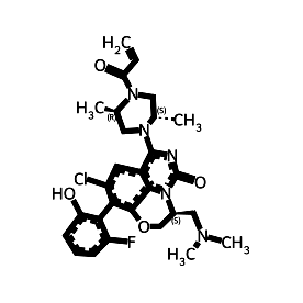 C=CC(=O)N1C[C@H](C)N(c2nc(=O)n3c4c(c(-c5c(O)cccc5F)c(Cl)cc24)OC[C@@H]3CN(C)C)C[C@H]1C